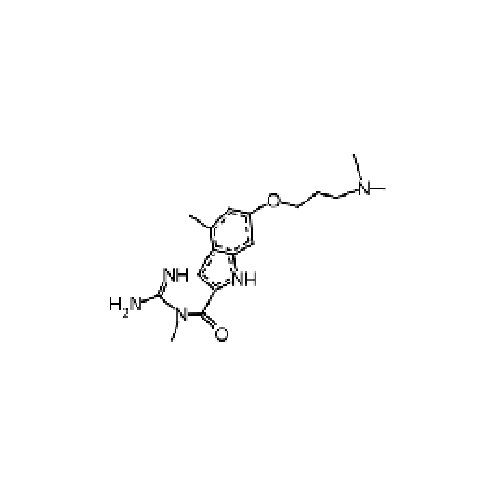 Cc1cc(OCCCN(C)C)cc2[nH]c(C(=O)N(C)C(=N)N)cc12